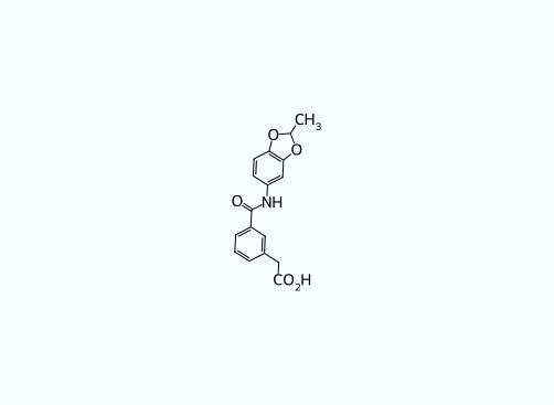 CC1Oc2ccc(NC(=O)c3cccc(CC(=O)O)c3)cc2O1